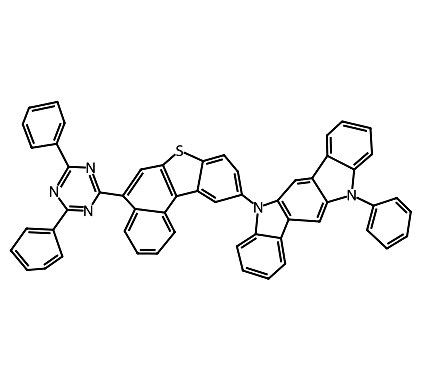 c1ccc(-c2nc(-c3ccccc3)nc(-c3cc4sc5ccc(-n6c7ccccc7c7cc8c(cc76)c6ccccc6n8-c6ccccc6)cc5c4c4ccccc34)n2)cc1